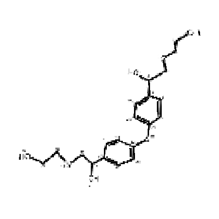 OCCSCC(O)c1ccc(Sc2ccc(C(O)CSCCO)cc2)cc1